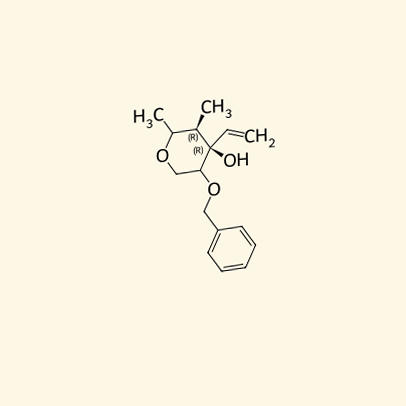 C=C[C@]1(O)C(OCc2ccccc2)COC(C)[C@H]1C